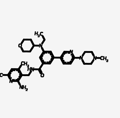 CCN(c1cc(C(=O)NCc2c(C)cc(C)nc2N)cc(-c2ccc(N3CCN(C)CC3)nc2)c1)C1CCOCC1